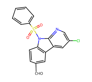 O=Cc1ccc2c(c1)c1cc(Cl)cnc1n2S(=O)(=O)c1ccccc1